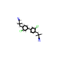 CC(C)(C#N)Cc1ccc(-c2ccc(CC(C)(C)C#N)c(Cl)c2)cc1Cl